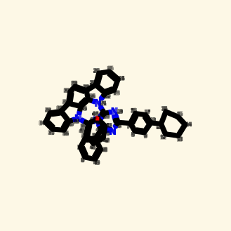 c1ccc(-c2nc(-c3ccc(C4CCCCC4)cc3)nc(-n3c4ccccc4c4ccc5c6ccccc6n(-c6ccccc6)c5c43)n2)cc1